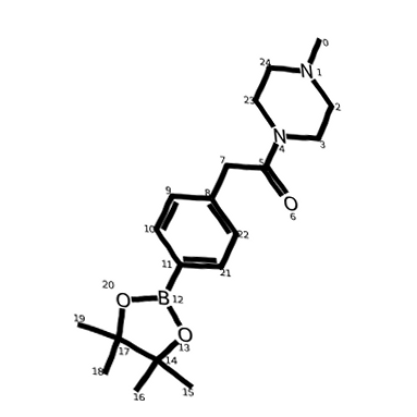 CN1CCN(C(=O)Cc2ccc(B3OC(C)(C)C(C)(C)O3)cc2)CC1